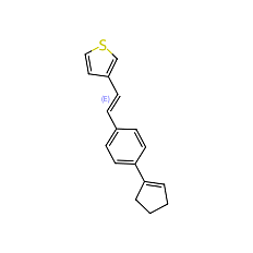 C1=C(c2ccc(/C=C/c3ccsc3)cc2)CCC1